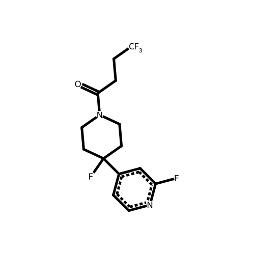 O=C(CCC(F)(F)F)N1CCC(F)(c2ccnc(F)c2)CC1